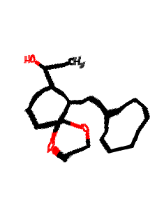 CC(O)C1CCC2(OCCO2)C1CC1CCCCC1